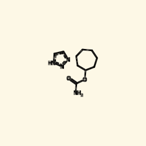 NC(=O)OC1CCCCCC1.c1c[nH]nn1